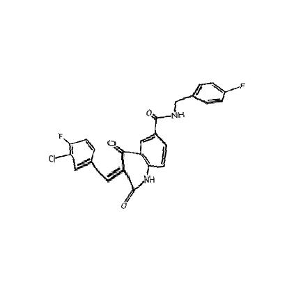 O=C1Nc2ccc(C(=O)NCc3ccc(F)cc3)cc2C(=O)/C1=C\c1ccc(F)c(Cl)c1